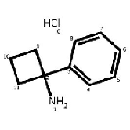 Cl.NC1(c2ccccc2)CCC1